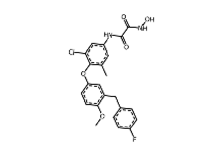 COc1ccc(Oc2c(C)cc(NC(=O)C(=O)NO)cc2Cl)cc1Cc1ccc(F)cc1